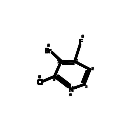 Fc1ccnc(Cl)c1Br